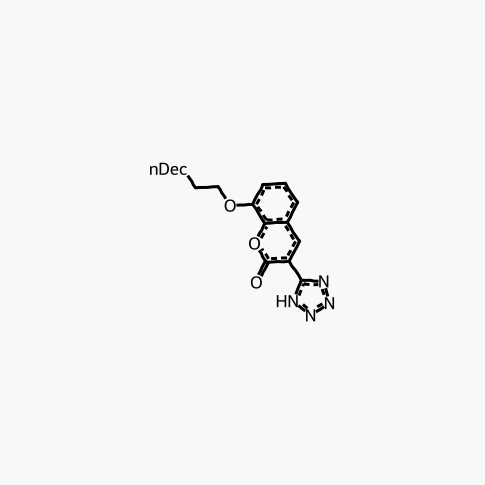 CCCCCCCCCCCCOc1cccc2cc(-c3nnn[nH]3)c(=O)oc12